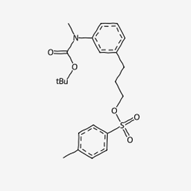 Cc1ccc(S(=O)(=O)OCCCc2cccc(N(C)C(=O)OC(C)(C)C)c2)cc1